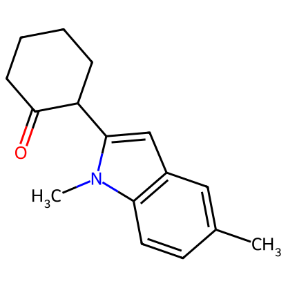 Cc1ccc2c(c1)cc(C1CCCCC1=O)n2C